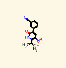 CC(C)c1[nH]c(=O)c(-c2cccc(C#N)c2)cc1[N+](=O)[O-]